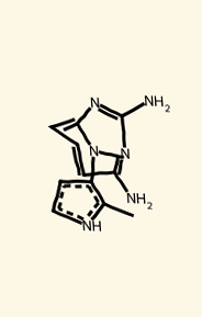 Cc1[nH]ccc1N(C)C1=C\C=C\C(N)=N/C(N)=N\1